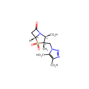 C[C@]1(Cn2nnc(C(=O)O)c2C(=O)O)[C@H](C(=O)O)N2C(=O)C[C@H]2S1(=O)=O